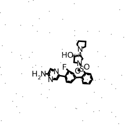 Nc1cnc(-c2ccc(-c3ccccc3S(=O)(=O)N3C[C@H](O)[C@@H](N4CCCC4)C3)cc2F)cn1